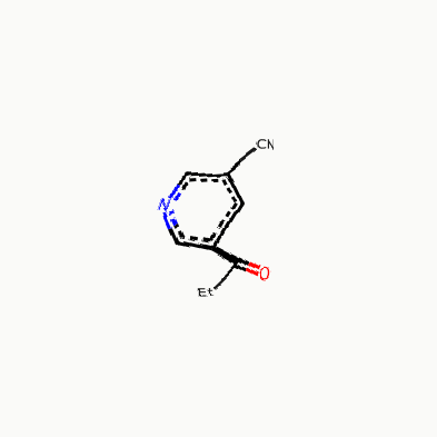 CCC(=O)c1cncc(C#N)c1